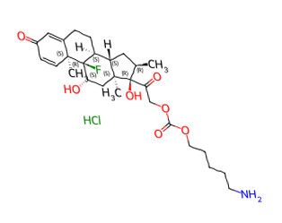 C[C@@H]1C[C@H]2[C@@H]3CCC4=CC(=O)C=C[C@]4(C)[C@@]3(F)[C@@H](O)C[C@]2(C)[C@@]1(O)C(=O)COC(=O)OCCCCCN.Cl